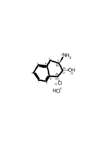 Cl.N[C@@H]1Cc2ccccc2[C@@H](Cl)[C@H]1O